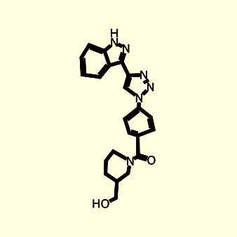 O=C(c1ccc(-n2cc(-c3n[nH]c4ccccc34)nn2)cc1)N1CCCC(CO)C1